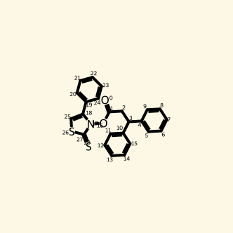 O=C(CC(c1ccccc1)c1ccccc1)On1c(-c2ccccc2)csc1=S